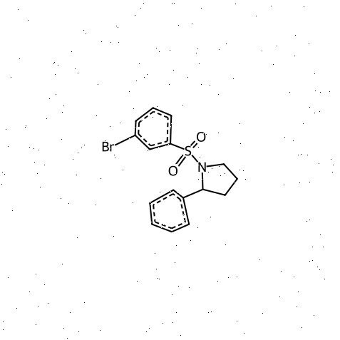 O=S(=O)(c1cccc(Br)c1)N1CCCC1c1ccccc1